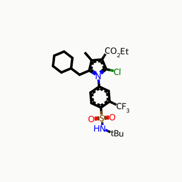 CCOC(=O)c1c(C)c(CC2CCCCC2)n(-c2ccc(S(=O)(=O)NC(C)(C)C)c(C(F)(F)F)c2)c1Cl